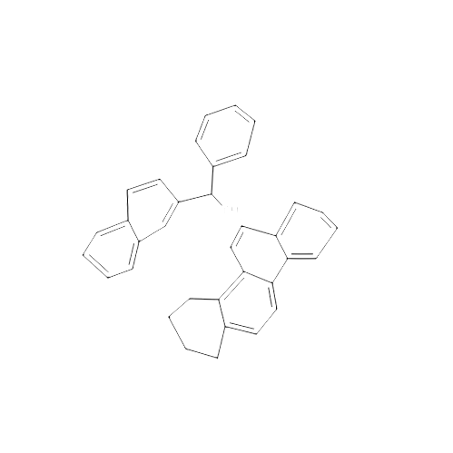 CC(c1ccccc1)c1ccc2ccccc2c1.c1ccc2c(c1)ccc1c3c(ccc12)CCCC3